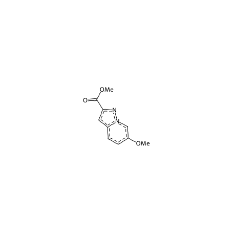 COC(=O)c1cc2ccc(OC)cn2n1